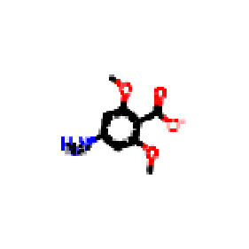 COc1cc(N)cc(OC)c1C(=O)[O-].[Na+]